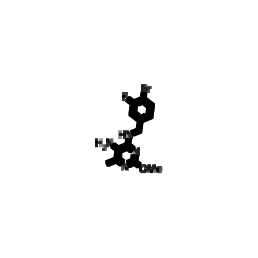 COc1nc(C)c(N)c(NCc2ccc(Br)c(F)c2)n1